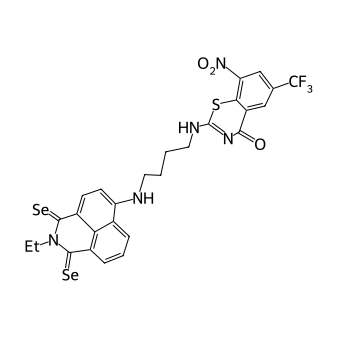 CCN1C(=[Se])c2cccc3c(NCCCCNc4nc(=O)c5cc(C(F)(F)F)cc([N+](=O)[O-])c5s4)ccc(c23)C1=[Se]